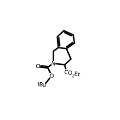 CCOC(=O)C1Cc2ccccc2CN1C(=O)OC(C)(C)C